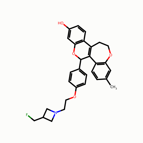 Cc1ccc2c(c1)OCCC1=C2C(c2ccc(OCCN3CC(CF)C3)cc2)Oc2cc(O)ccc21